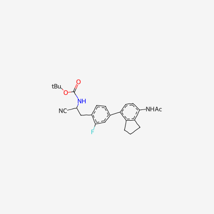 CC(=O)Nc1ccc(-c2ccc(CC(C#N)NC(=O)OC(C)(C)C)c(F)c2)c2c1CCC2